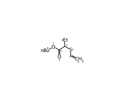 C=CSC(CC)C(=O)OCCCC